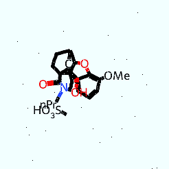 CCCN1CCC23c4cccc(OC)c4OC2C2CCC3(C1=O)C(CO)C2.CS(=O)(=O)O